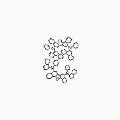 c1ccc(N(c2cccc3ccccc23)c2cc3c4cc(N(c5ccc(-c6cccc7cc(N(c8ccccc8)c8cc9c%10cc(N(c%11ccccc%11)c%11cc%12ccccc%12c%12ccccc%11%12)c%11ccccc%11c%10oc9c9ccccc89)c8ccccc8c67)cc5)c5cccc6ccccc56)c5ccccc5c4oc3c3ccccc23)cc1